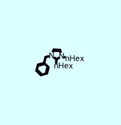 CCCCCCC1N(CCCCCC)C=CN1Cc1ccccc1